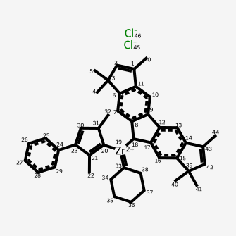 CC1=CC(C)(C)c2cc3c(cc21)-c1cc2c(cc1[CH]3[Zr+2]([C]1=C(C)C(c3ccccc3)=CC1C)=[C]1CCCCC1)C(C)(C)C=C2C.[Cl-].[Cl-]